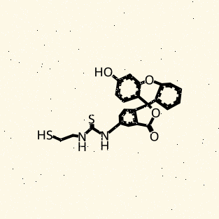 O=C1OC2(c3ccccc3Oc3cc(O)ccc32)c2ccc(NC(=S)NCCS)cc21